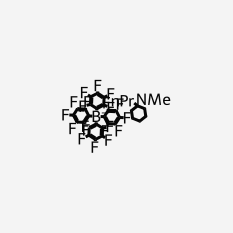 CCCC1([NH2+]C)CCCCC1.Fc1c(F)c(F)c([B-](c2c(F)c(F)c(F)c(F)c2F)(c2c(F)c(F)c(F)c(F)c2F)c2c(F)c(F)c(F)c(F)c2F)c(F)c1F